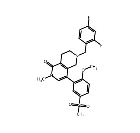 COc1ccc(S(C)(=O)=O)cc1-c1cn(C)c(=O)c2c1CN(Cc1ccc(F)cc1F)CC2